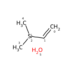 C=C[Si](C)C.O